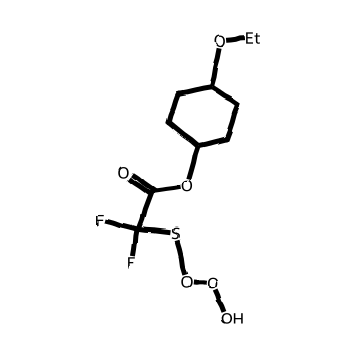 CCOC1CCC(OC(=O)C(F)(F)SOOO)CC1